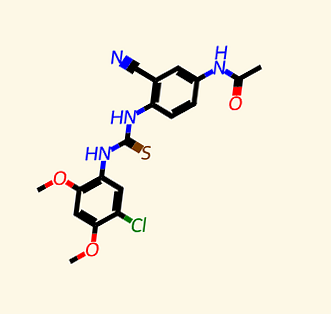 COc1cc(OC)c(NC(=S)Nc2ccc(NC(C)=O)cc2C#N)cc1Cl